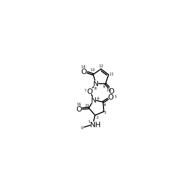 CNC1CC(=O)N(ON2C(=O)C=CC2=O)C1=O